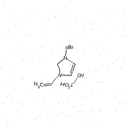 C=CN1C=CN(CCCC)C1.O=C(O)O